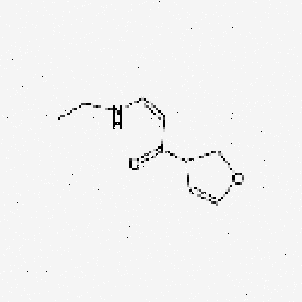 CCN/C=C\C(=O)C1C=COC1